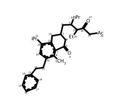 CCCC(CC1CC(=O)c2c(C)c(CCc3ccccc3)cc(C(C)C)c2C1)C(CC)C(=O)CC(C)=O